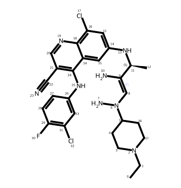 CCN1CCC(N(N)/C=C(\N)[C@H](C)Nc2cc(Cl)c3ncc(C#N)c(Nc4ccc(F)c(Cl)c4)c3c2)CC1